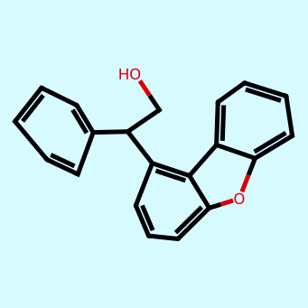 OCC(c1ccccc1)c1cccc2oc3ccccc3c12